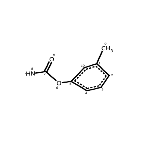 Cc1cccc(OC([NH])=O)c1